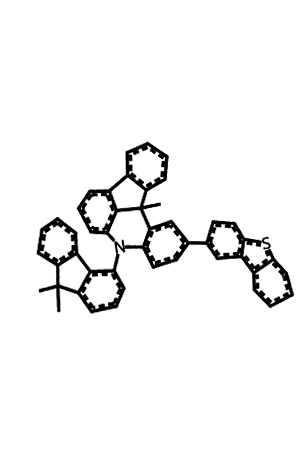 CC1(C)c2ccccc2-c2c(N3c4ccc(-c5ccc6sc7ccccc7c6c5)cc4C4(C)c5ccccc5-c5cccc3c54)cccc21